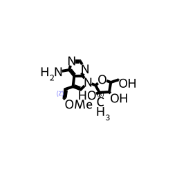 CO/C=C\c1cn(C2OC(CO)C(O)[C@@]2(C)O)c2ncnc(N)c12